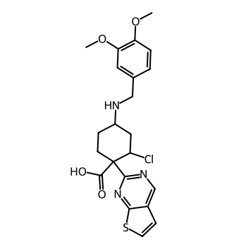 COc1ccc(CNC2CCC(C(=O)O)(c3ncc4ccsc4n3)C(Cl)C2)cc1OC